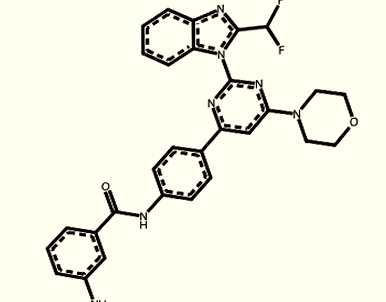 Nc1cccc(C(=O)Nc2ccc(-c3cc(N4CCOCC4)nc(-n4c(C(F)F)nc5ccccc54)n3)cc2)c1